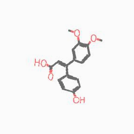 COc1ccc(/C(=C/C(=O)O)c2ccc(O)cc2)cc1OC